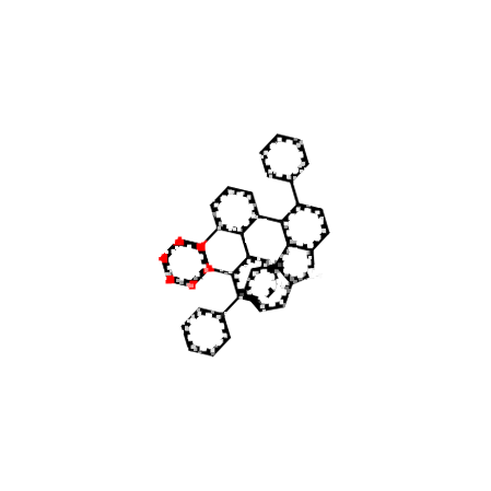 c1ccc(-c2ccc3[se]c4ccccc4c3c2-c2cccc(-c3ccccn3)c2-c2nnnc(-c3ccccc3)c2-c2ccccc2)cc1